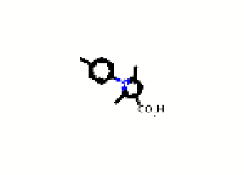 Cc1ccc(-n2c(C)cc(C(=O)O)c2C)cc1